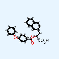 O=C(O[C@H](Cc1ccc2ccccc2c1)C(=O)O)c1ccc(Oc2ccccc2)cc1